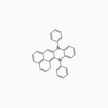 C1=Cc2cccc3cc4c(c(c23)C1)N(c1ccccc1)c1ccccc1N4c1ccccc1